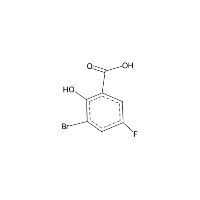 O=C(O)c1cc(F)cc(Br)c1O